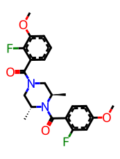 COc1ccc(C(=O)N2[C@H](C)CN(C(=O)c3cccc(OC)c3F)C[C@H]2C)c(F)c1